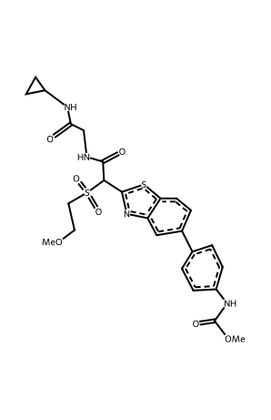 COCCS(=O)(=O)C(C(=O)NCC(=O)NC1CC1)c1nc2cc(-c3ccc(NC(=O)OC)cc3)ccc2s1